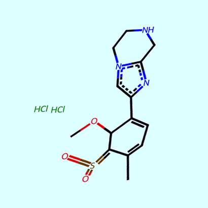 COC1C(c2cn3c(n2)CNCC3)=CC=C(C)C1=S(=O)=O.Cl.Cl